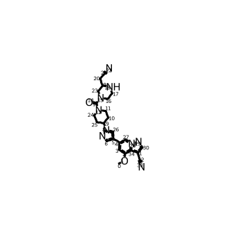 COc1cc(-c2cnn(C3CCN(C(=O)N4CCNC(CC#N)C4)CC3)c2)cn2ncc(C#N)c12